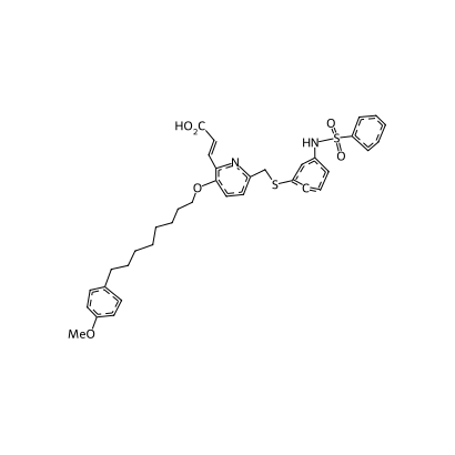 COc1ccc(CCCCCCCCOc2ccc(CSc3cccc(NS(=O)(=O)c4ccccc4)c3)nc2C=CC(=O)O)cc1